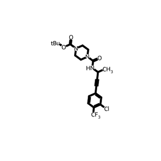 CC(C#Cc1ccc(C(F)(F)F)c(Cl)c1)NC(=O)N1CCN(C(=O)OC(C)(C)C)CC1